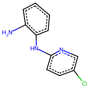 Nc1ccccc1Nc1ccc(Cl)cn1